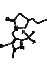 CCCC1CC(=O)N(Cc2c(C(F)(F)F)nn(C)c2Cl)C1